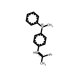 CCC/C(C)=[SiH]\c1ccc([SiH](C)c2ccccc2)cc1